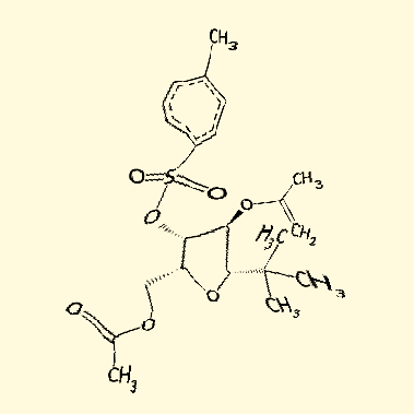 C=C(C)O[C@@H]1[C@@H](OS(=O)(=O)c2ccc(C)cc2)[C@@H](COC(C)=O)O[C@H]1C(C)(C)C